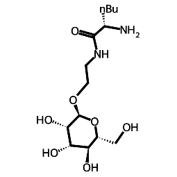 [CH2]CCC[C@H](N)C(=O)NCCO[C@H]1O[C@H](CO)[C@@H](O)[C@H](O)[C@@H]1O